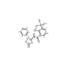 O=C(N[C@H]1CNC[C@@H]1c1ccccc1)c1cccc(C(F)(F)F)c1Cl